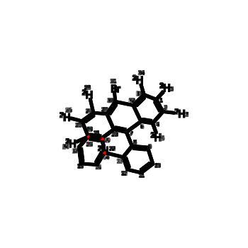 [2H]c1c([2H])c([2H])c2c(-c3ccccc3-c3ccccc3)c3c([2H])c([2H])c([2H])c([2H])c3c(Br)c2c1[2H]